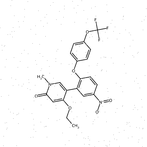 CCOc1cc(=O)n(C)cc1-c1cc([N+](=O)[O-])ccc1Oc1ccc(OC(F)(F)F)cc1